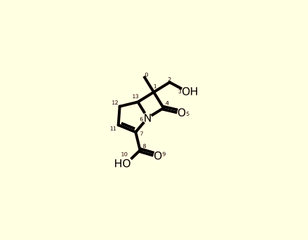 CC1(CO)C(=O)N2C(C(=O)O)=CCC21